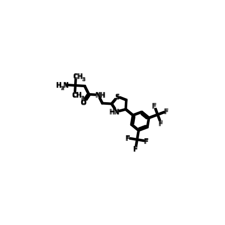 CC(C)(N)CC(=O)NCC1NC(c2cc(C(F)(F)F)cc(C(F)(F)F)c2)CS1